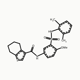 COc1ccc(NC(=O)c2csc3c2CCCC3)cc1S(=O)(=O)Nc1c(C)cccc1C